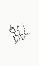 CCCCCC(=O)[O-].CCCCCC(=O)[O-].C[n+]1ccc(-c2cc[n+](C)cc2)cc1